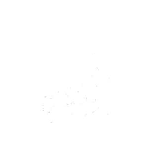 CS(=O)(=O)N1CCCC(OCCCN(Cc2cccc(C(F)(F)F)c2Cl)CC(F)(F)c2ccc(F)cc2)C1